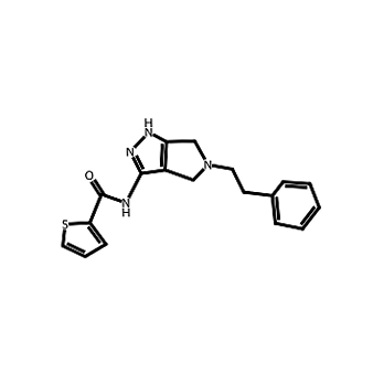 O=C(Nc1n[nH]c2c1CN(CCc1ccccc1)C2)c1cccs1